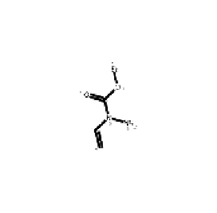 C=CN(N)C(=O)OCC